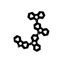 c1ccc2c(c1)sc1ccc(-n3c4ccccc4c4cc(-n5c6ccccc6c6cc(-n7c8ccccc8c8ccccc87)ccc65)ccc43)cc12